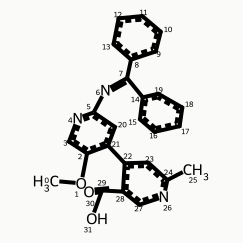 COc1cnc(N=C(c2ccccc2)c2ccccc2)cc1-c1cc(C)ncc1C(=O)O